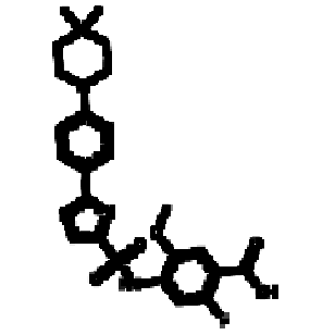 COc1cc(C(=O)O)c(F)cc1NS(=O)(=O)c1csc(-c2ccc(N3CCC(C)(C)CC3)cc2)n1